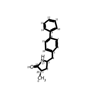 C[C@@H]1CC(Cc2ccc(-c3ccccc3)cc2)NC1=O